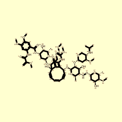 C=C(OC)C(=O)Nc1cc(OC)c(OC)cc1C(=O)O[C@H]1C[C@H](O[C@@H]2C(=O)C(NC(=O)OC)=C3/C(=C\CSSSC)[C@]2(O)C#C/C=C\C#C[C@H]3O[C@@H]2O[C@H](C)[C@@H](NO[C@H]3C[C@H](O)[C@H](SC)[C@@H](C)O3)[C@H](O)[C@H]2O[C@H]2C[C@H](OC)[C@@H](NC(C)C)CO2)O[C@@H](C)[C@H]1O